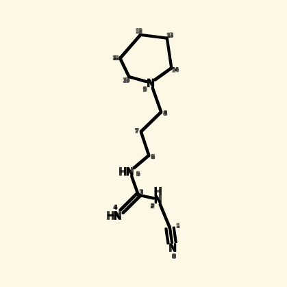 N#CNC(=N)NCCCN1CCCCC1